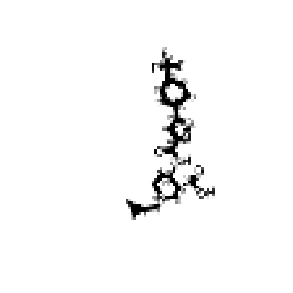 O=C(N[C@@H]1CCN(CC2CC2)C[C@H]1C(=O)O)c1cc(-c2ccc(C(F)(F)F)cc2)on1